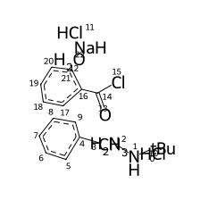 CC(C)(C)NN.Cc1ccccc1.Cl.Cl.O.O=C(Cl)c1ccccc1.[NaH]